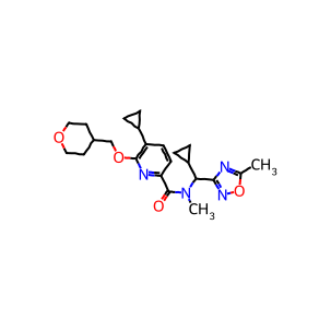 Cc1nc(C(C2CC2)N(C)C(=O)c2ccc(C3CC3)c(OCC3CCOCC3)n2)no1